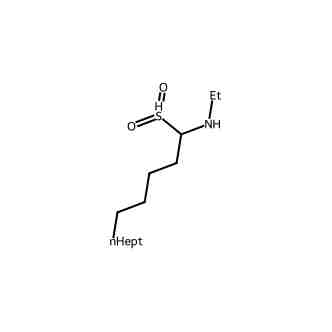 CCCCCCCCCCCC(NCC)[SH](=O)=O